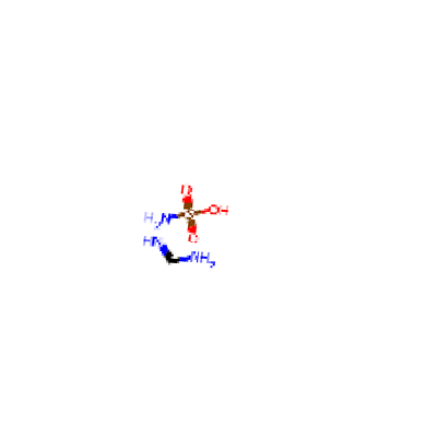 N=CN.NS(=O)(=O)O